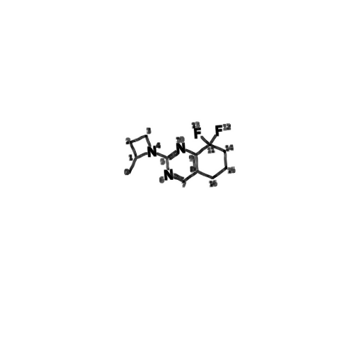 CC1CCN1c1ncc2c(n1)C(F)(F)CCC2